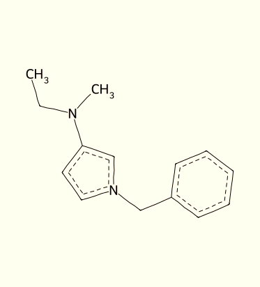 CCN(C)c1ccn(Cc2ccccc2)c1